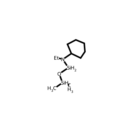 CCN([SiH2]O[SiH](C)C)C1CCCCC1